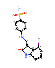 NS(=O)(=O)c1ccc(N/C=C2\C(=O)Nc3cccc(I)c32)cc1